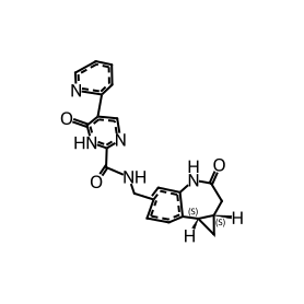 O=C1C[C@@H]2C[C@@H]2c2ccc(CNC(=O)c3ncc(-c4ccccn4)c(=O)[nH]3)cc2N1